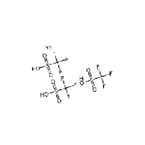 O=S(=O)(O)C(F)(F)F.O=S(=O)(O)C(F)(F)F.O=S(=O)(O)C(F)(F)F.[Yb]